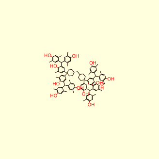 Cc1cc(C(c2cc(C)c(O)cc2C)c2cc(C3(c4cc(C)c(O)c(C(c5cc(C)c(O)cc5C)c5cc(C)c(O)cc5C)c4)CCC(CC4CCC(c5cc(C)c(O)c(C(c6cc(C)c(O)cc6C)c6cc(C)c(O)cc6C)c5)(c5cc(C)c(O)c(C(c6cc(C)c(O)cc6C)c6cc(C)c(O)cc6C)c5)CC4)CC3)cc(C)c2O)c(C)cc1O